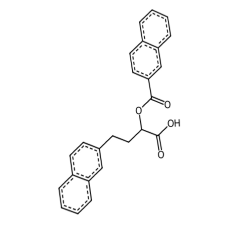 O=C(OC(CCc1ccc2ccccc2c1)C(=O)O)c1ccc2ccccc2c1